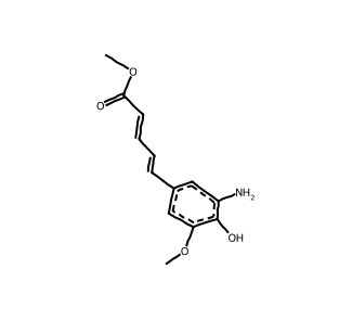 COC(=O)C=CC=Cc1cc(N)c(O)c(OC)c1